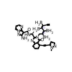 B/C(C#C)=C(B)/C(B)=C(/B)Cn1c([C@H](C)NC(=O)c2c(N)nn3cccnc23)nc2cccc(C#Cc3ccnn3C)c2c1=O